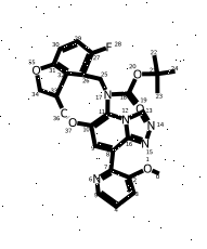 COc1cccnc1-c1cc2c(n3cnnc13)N(C(=O)OC(C)(C)C)Cc1c(F)ccc3c1C(CO3)CO2